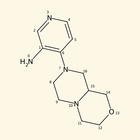 Nc1cnccc1N1CCN2CCOCC2C1